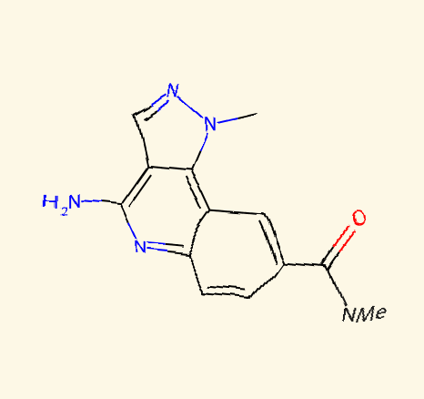 CNC(=O)c1ccc2nc(N)c3cnn(C)c3c2c1